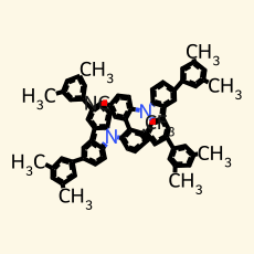 Cc1cc(C)cc(-c2ccc3c(c2)c2cc(-c4cc(C)cc(C)c4)ccc2n3-c2ccc(C#N)cc2-c2c(-n3c4ccc(-c5cc(C)cc(C)c5)cc4c4cc(-c5cc(C)cc(C)c5)ccc43)cccc2C(F)(F)F)c1